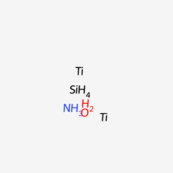 N.O.[SiH4].[Ti].[Ti]